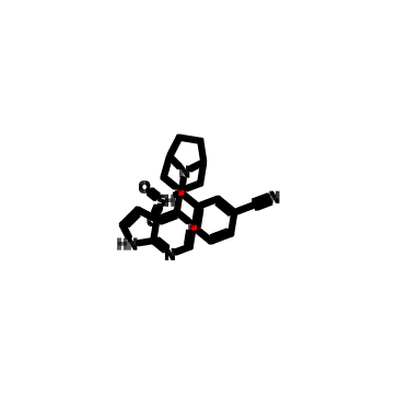 N#Cc1cccc(C(N2C3CCC2CN(c2ncnc4[nH]ccc24)C3)[SH](=O)=O)c1